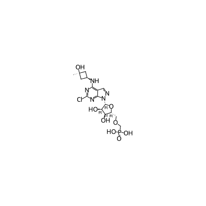 C[C@]1(O)C[C@@H](Nc2nc(Cl)nc3c2cnn3[C@@H]2O[C@H](COCP(=O)(O)O)[C@@H](O)[C@H]2O)C1